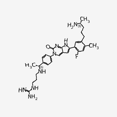 Cc1cc(F)c(-c2cc3cn(-c4ccc([C@H](C)NCCCNC(=N)N)cc4)c(=O)nc3[nH]2)cc1CCC[C@H](C)N